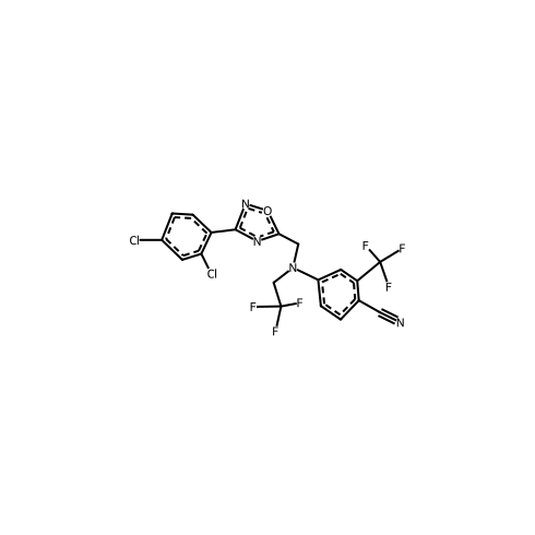 N#Cc1ccc(N(Cc2nc(-c3ccc(Cl)cc3Cl)no2)CC(F)(F)F)cc1C(F)(F)F